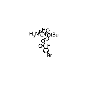 CC(C)(C)OC(=O)N1[C@H](C(=O)OCC(=O)c2ccc(Br)cc2F)C[C@@]2(N)C[C@@H]12